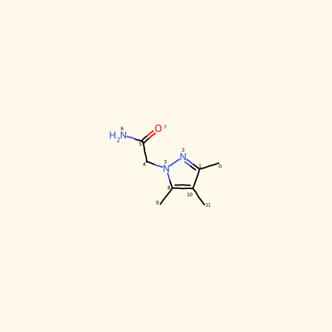 Cc1nn(CC(N)=O)c(C)c1C